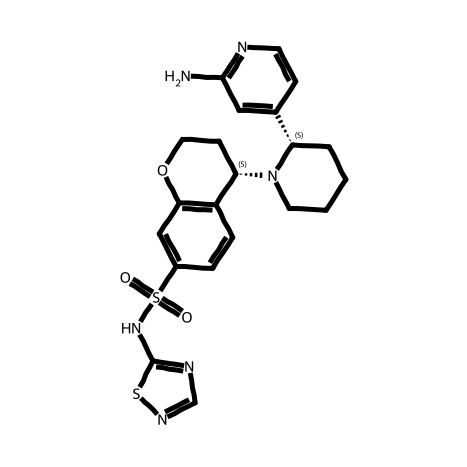 Nc1cc([C@@H]2CCCCN2[C@H]2CCOc3cc(S(=O)(=O)Nc4ncns4)ccc32)ccn1